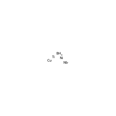 B.[Cu].[Nb].[Ni].[Ti]